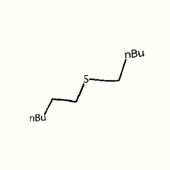 CCCCCCSCCCCC